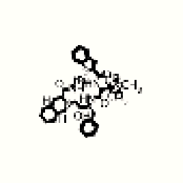 CC(C)(C)NC(=O)[C@@H]1C[C@@H]2CCCC[C@@H]2CN1C[C@@H](O)[C@H](Cc1ccccc1)NC(=O)[C@@H](NC(=O)c1cc2ccccc2s1)C(C)(C)S(C)(=O)=O